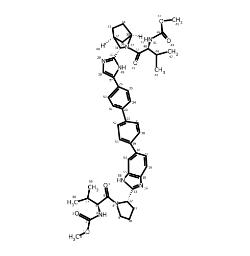 COC(=O)N[C@H](C(=O)N1CCC[C@H]1c1nc2ccc(-c3ccc(-c4ccc(-c5cnc([C@@H]6[C@H]7CC[C@H](C7)N6C(=O)[C@@H](NC(=O)OC)C(C)C)[nH]5)cc4)cc3)cc2[nH]1)C(C)C